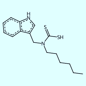 CCCCCCN(Cc1c[nH]c2ccccc12)C(=S)S